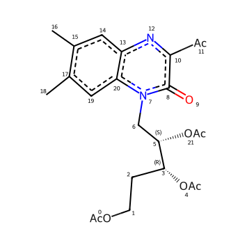 CC(=O)OCC[C@@H](OC(C)=O)[C@H](Cn1c(=O)c(C(C)=O)nc2cc(C)c(C)cc21)OC(C)=O